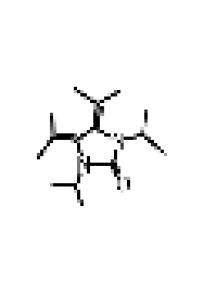 CC(C)=c1c(=C(C)C)n(C(C)C)c(=O)n1C(C)C